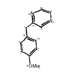 COc1ccc(Cc2cnccn2)cc1